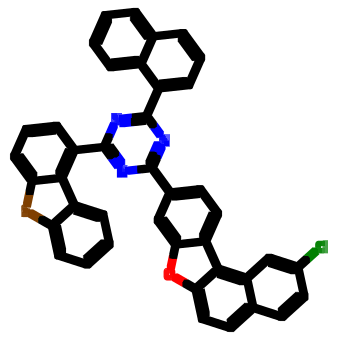 Clc1ccc2ccc3oc4cc(-c5nc(-c6cccc7ccccc67)nc(-c6cccc7sc8ccccc8c67)n5)ccc4c3c2c1